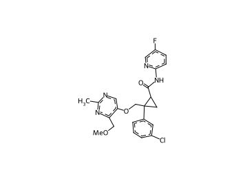 COCc1nc(C)ncc1OCC1(c2cccc(Cl)c2)CC1C(=O)Nc1ccc(F)cn1